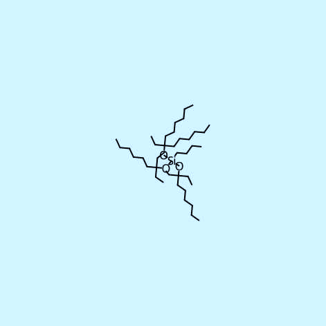 CCCCCCC(CC)(CC)O[Si](CCCC)(OC(CC)(CC)CCCCCC)OC(CC)(CCCCCC)CCCCCC